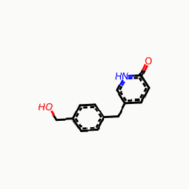 O=c1ccc(Cc2ccc(CO)cc2)c[nH]1